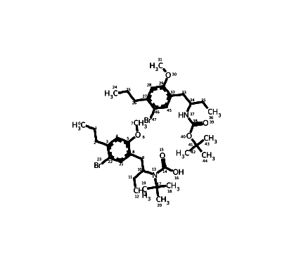 CCCc1cc(OC)c(CC(CC)N(C(=O)O)C(C)(C)C)cc1Br.CCCc1cc(OC)c(CC(CC)NC(=O)OC(C)(C)C)cc1Br